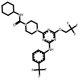 O=C(NC1CCCCC1)N1CCN(c2nc(Nc3cccc(C(F)(F)F)c3)nc(OCC(F)(F)F)n2)CC1